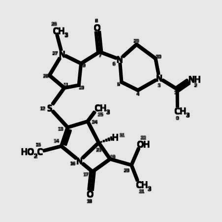 CC(=N)N1CCN(C(=O)C2CC(SC3=C(C(=O)O)N4C(=O)C(C(C)O)[C@@H]4C3C)CN2C)CC1